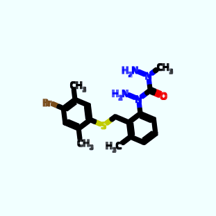 Cc1cc(SCc2c(C)cccc2N(N)C(=O)N(C)N)c(C)cc1Br